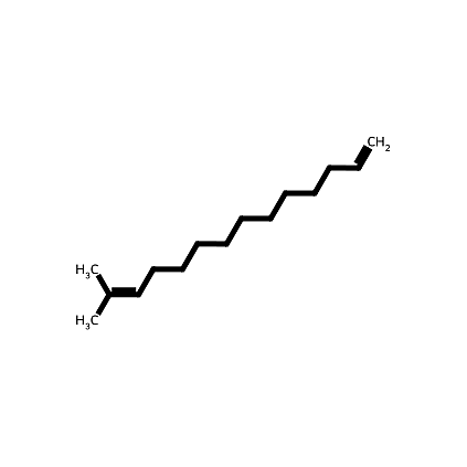 C=CCCCCCCCCCC=C(C)C